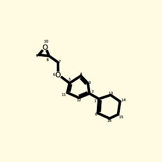 C1=C(c2ccc(OCC3CO3)cc2)CCCC1